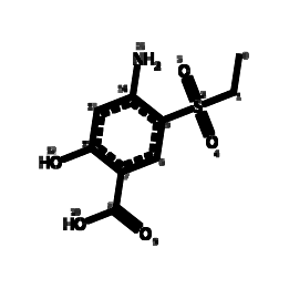 CCS(=O)(=O)c1cc(C(=O)O)c(O)cc1N